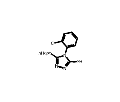 CCCCCCCc1nnc(S)n1-c1ccccc1Cl